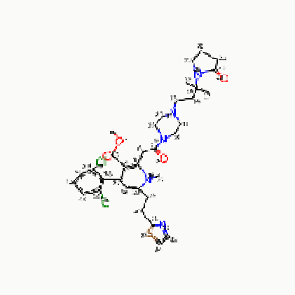 COC(=O)C1=C(CC(=O)N2CCN(CCC(C)(C)N3CCCC3=O)CC2)N(C)C(CCc2nccs2)=CC1c1c(Cl)cccc1Cl